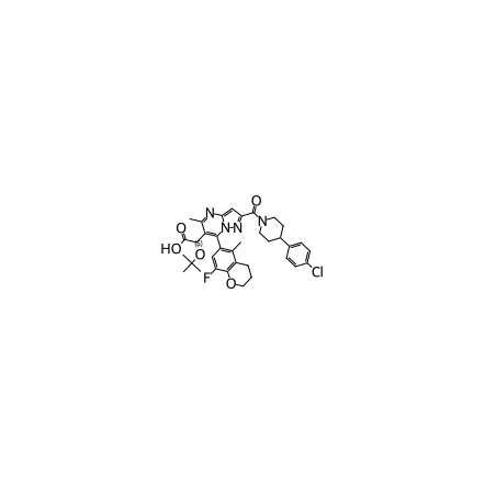 Cc1nc2cc(C(=O)N3CCC(c4ccc(Cl)cc4)CC3)nn2c(-c2cc(F)c3c(c2C)CCCO3)c1[C@H](OC(C)(C)C)C(=O)O